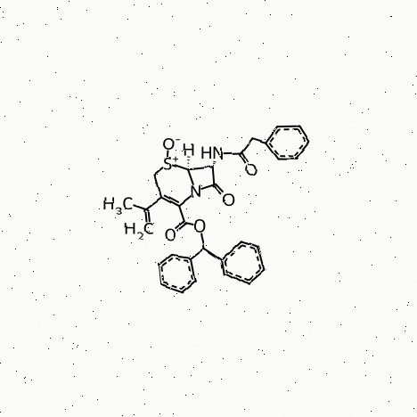 C=C(C)C1=C(C(=O)OC(c2ccccc2)c2ccccc2)N2C(=O)[C@@H](NC(=O)Cc3ccccc3)[C@@H]2[S+]([O-])C1